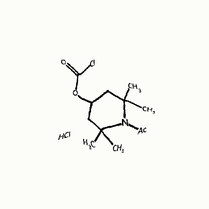 CC(=O)N1C(C)(C)CC(OC(=O)Cl)CC1(C)C.Cl